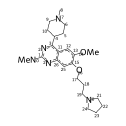 CNc1nc(C2CCN(C)CC2)c2cc(OC)c(OCCCN3CCCC3)cc2n1